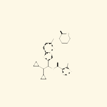 Cc1nonc1C(=O)NC(c1cn2nc(C[C@H]3CCCNC3=O)ccc2n1)C(C1CC1)C1CC1